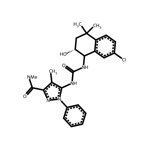 CNC(=O)c1nn(-c2ccccc2)c(NC(=O)NC2c3cc(Cl)ccc3C(C)(C)C[C@H]2O)c1C